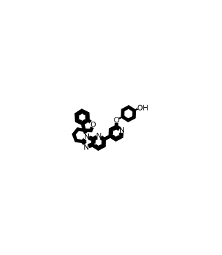 O[C@H]1CC[C@@H](Oc2cc(-c3ccc4nc5n(c4n3)C3(CCC5)COc4ccccc43)ccn2)CC1